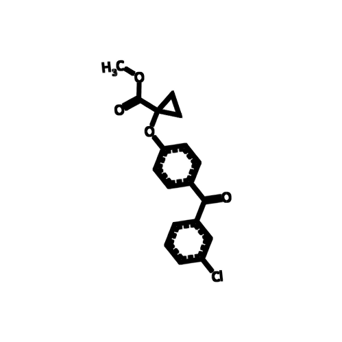 COC(=O)C1(Oc2ccc(C(=O)c3cccc(Cl)c3)cc2)CC1